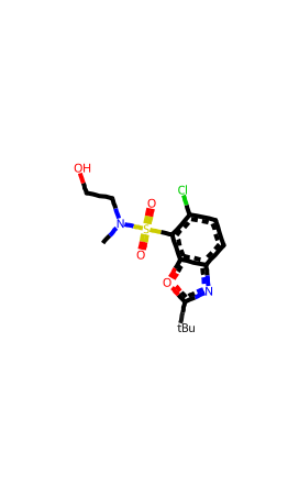 CN(CCO)S(=O)(=O)c1c(Cl)ccc2nc(C(C)(C)C)oc12